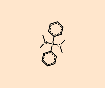 [CH3][Al]([CH3])[Si](c1ccccc1)(c1ccccc1)[Al]([CH3])[CH3]